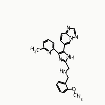 COc1ccccc1CNCc1nc(-c2cccc(C)n2)c(-c2ccc3ncnn3c2)[nH]1